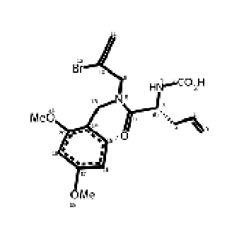 C=CC[C@@H](NC(=O)O)C(=O)N(CC(=C)Br)Cc1ccc(OC)cc1OC